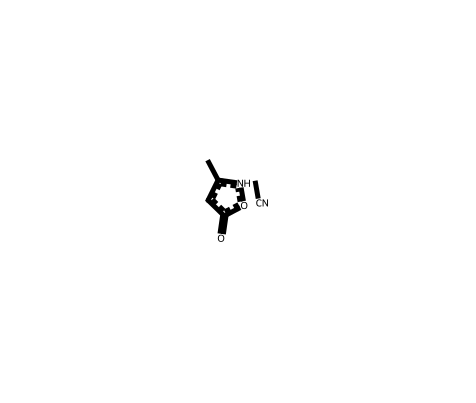 CC#N.Cc1cc(=O)o[nH]1